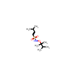 CC(C)/C=C/S(=O)(=O)NOC(C)(C)C(C)C